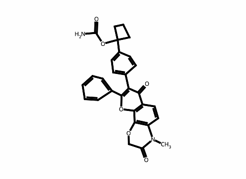 CN1C(=O)COc2c1ccc1c(=O)c(-c3ccc(C4(OC(N)=O)CCC4)cc3)c(-c3ccccc3)oc21